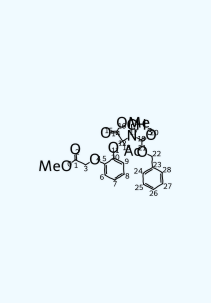 COC(=O)COc1ccccc1OC(C(C)=O)(C(=O)OC)N(C)C(=O)OCc1ccccc1